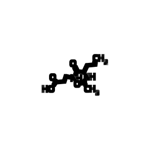 C=CCC(NC(C)=O)C(=O)NCCC(=O)O